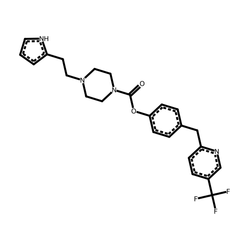 O=C(Oc1ccc(Cc2ccc(C(F)(F)F)cn2)cc1)N1CCN(CCc2ccc[nH]2)CC1